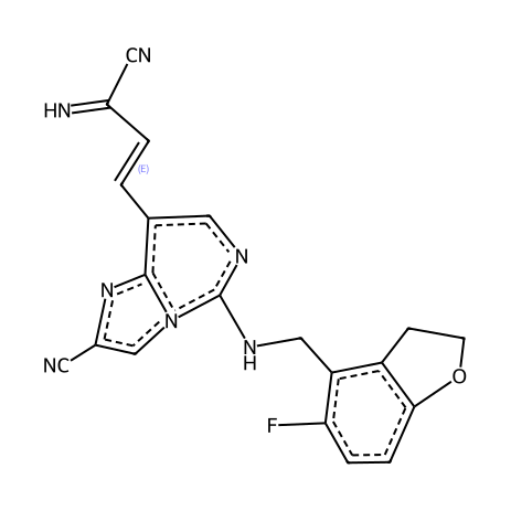 N#CC(=N)/C=C/c1cnc(NCc2c(F)ccc3c2CCO3)n2cc(C#N)nc12